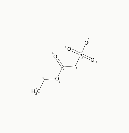 CCOC(=O)CS([O])(=O)=O